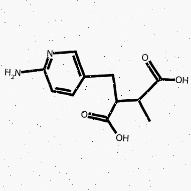 CC(C(=O)O)C(Cc1ccc(N)nc1)C(=O)O